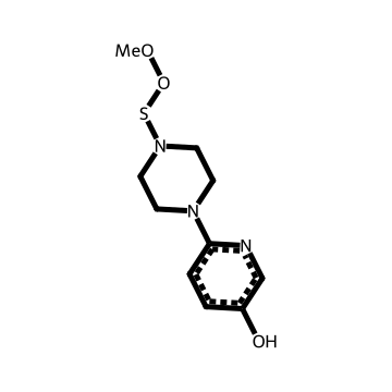 COOSN1CCN(c2ccc(O)cn2)CC1